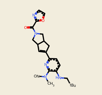 CN(N=O)c1nc(C2=CC3CN(C(=O)c4ncco4)CC3C2)ccc1NCC(C)(C)C